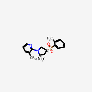 O=C(O)[C@H]1C[C@@H](S(=O)(=O)c2ccccc2C(F)(F)F)CN1c1ncccc1C(F)(F)F